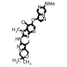 CNc1cn2ncc(Oc3cnc4nc(Nc5nn6c(c5F)COC(C)(C)C6)n(C)c4c3Cl)c2cn1